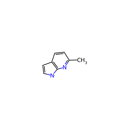 Cc1ccc2c(n1)[N]C=C2